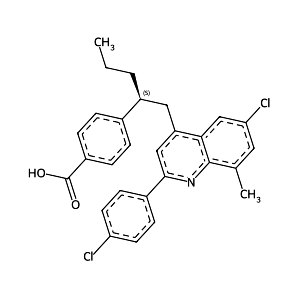 CCC[C@@H](Cc1cc(-c2ccc(Cl)cc2)nc2c(C)cc(Cl)cc12)c1ccc(C(=O)O)cc1